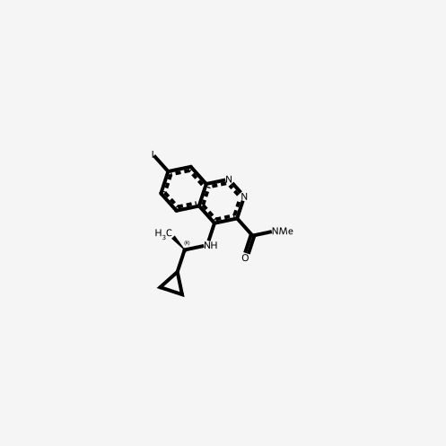 CNC(=O)c1nnc2cc(I)ccc2c1N[C@H](C)C1CC1